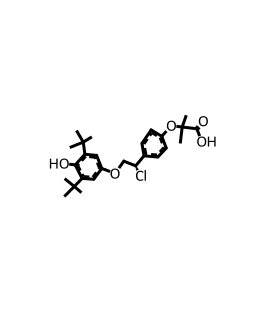 CC(C)(Oc1ccc([C@@H](Cl)COc2cc(C(C)(C)C)c(O)c(C(C)(C)C)c2)cc1)C(=O)O